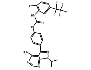 CC(C)n1nc(-c2ccc(NC(=O)Nc3cc(C(F)(F)C(F)(F)F)ccc3F)cc2)c2c(N)ncnc21